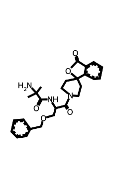 CC(C)(N)C(=O)NC(COCc1ccccc1)C(=O)N1CCC2(CC1)OC(=O)c1ccccc12